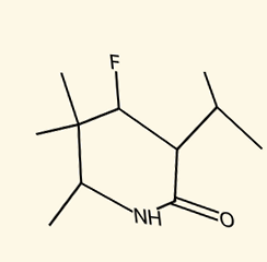 CC(C)C1C(=O)NC(C)C(C)(C)C1F